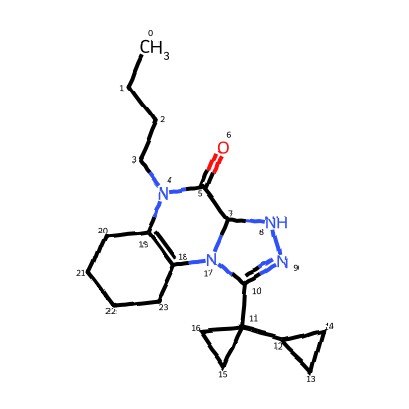 CCCCN1C(=O)C2NN=C(C3(C4CC4)CC3)N2C2=C1CCCC2